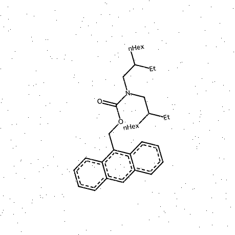 CCCCCCC(CC)CN(CC(CC)CCCCCC)C(=O)OCc1c2ccccc2cc2ccccc12